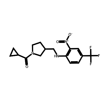 O=C(C1CC1)N1CCC(CNc2ccc(C(F)(F)F)cc2[N+](=O)[O-])C1